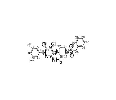 Nc1nn(-c2cc(F)cc(F)c2)c(=O)c(Cl)c1N1CCN(S(=O)(=O)Cc2ccccc2)CC1